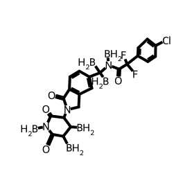 BC1C(=O)N(B)C(=O)C(N2Cc3cc(C(B)(B)N(B)C(=O)C(F)(F)c4ccc(Cl)cc4)ccc3C2=O)C1B